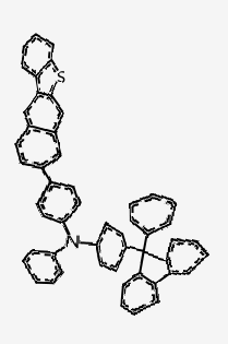 c1ccc(N(c2ccc(-c3ccc4cc5c(cc4c3)sc3ccccc35)cc2)c2ccc(C3(c4ccccc4)c4ccccc4-c4ccccc43)cc2)cc1